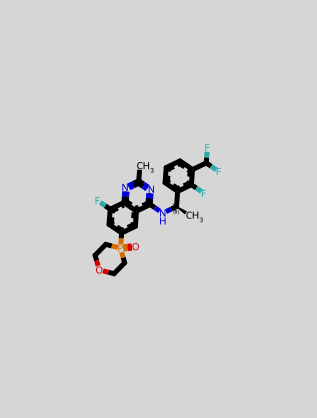 Cc1nc(N[C@H](C)c2cccc(C(F)F)c2F)c2cc(P3(=O)CCOCC3)cc(F)c2n1